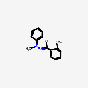 CNc1ccccc1/C(C)=N/N(C)c1ccccc1